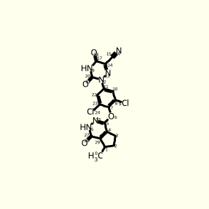 CC1CCc2c(Oc3c(Cl)cc(-n4nc(C#N)c(=O)[nH]c4=O)cc3Cl)n[nH]c(=O)c21